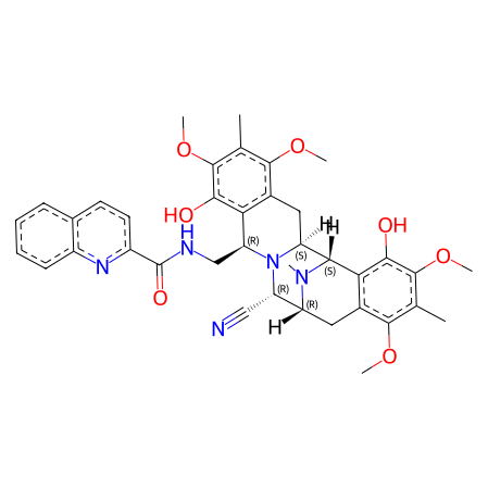 COc1c(C)c(OC)c2c(c1O)[C@H]1[C@@H]3Cc4c(OC)c(C)c(OC)c(O)c4[C@H](CNC(=O)c4ccc5ccccc5n4)N3[C@@H](C#N)[C@@H](C2)N1C